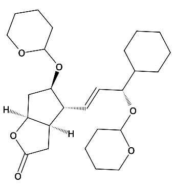 O=C1C[C@@H]2[C@@H](/C=C/[C@@H](OC3CCCCO3)C3CCCCC3)[C@H](OC3CCCCO3)C[C@@H]2O1